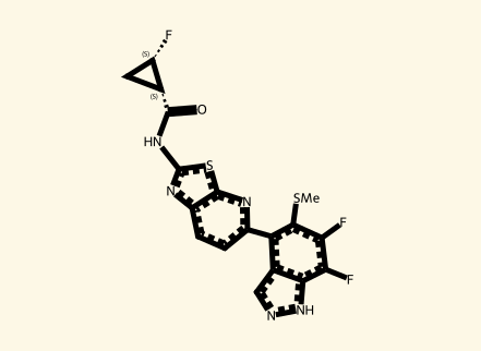 CSc1c(F)c(F)c2[nH]ncc2c1-c1ccc2nc(NC(=O)[C@@H]3C[C@@H]3F)sc2n1